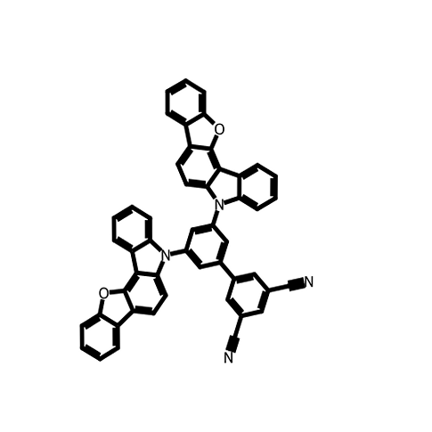 N#Cc1cc(C#N)cc(-c2cc(-n3c4ccccc4c4c5oc6ccccc6c5ccc43)cc(-n3c4ccccc4c4c5oc6ccccc6c5ccc43)c2)c1